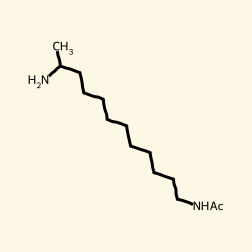 CC(=O)NCCCCCCCCCCC(C)N